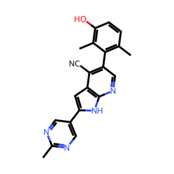 Cc1ncc(-c2cc3c(C#N)c(-c4c(C)ccc(O)c4C)cnc3[nH]2)cn1